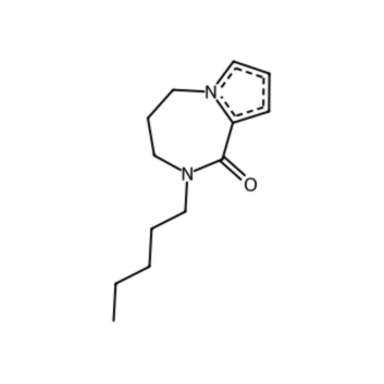 CCCCCN1CCCn2cccc2C1=O